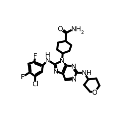 NC(=O)C1CCC(n2c(Nc3cc(Cl)c(F)cc3F)nc3cnc(NC4CCOCC4)nc32)CC1